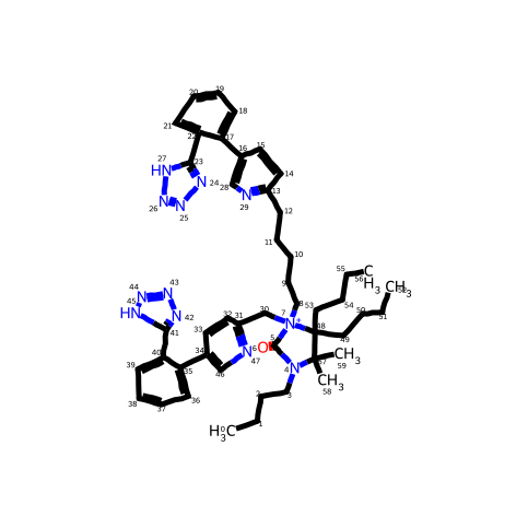 CCCCN1C(=O)[N+](CCCCCc2ccc(-c3ccccc3-c3nnn[nH]3)cn2)(Cc2ccc(-c3ccccc3-c3nnn[nH]3)cn2)C(CCCC)(CCCC)C1(C)C